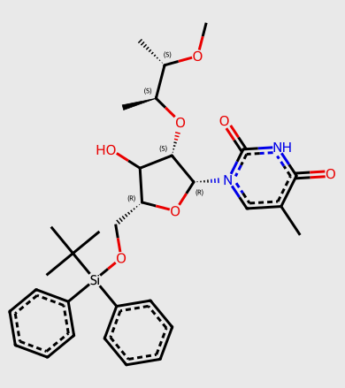 CO[C@@H](C)[C@H](C)O[C@H]1C(O)[C@@H](CO[Si](c2ccccc2)(c2ccccc2)C(C)(C)C)O[C@H]1n1cc(C)c(=O)[nH]c1=O